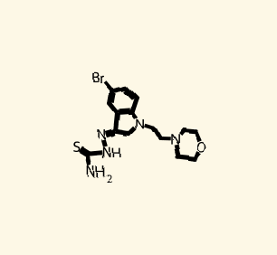 NC(=S)N/N=C1\CN(CCN2CCOCC2)c2ccc(Br)cc21